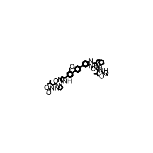 COC(=O)N[C@H](C(=O)N1CCC[C@H]1c1ncc(-c2ccc3c(c2)COc2cc(-c4ccc5nc(C6CC7CC[C@H](C7)N6C(=O)[C@@H](NC(=O)OC)C(C)C)[nH]c5c4)ccc2-3)[nH]1)C(C)C